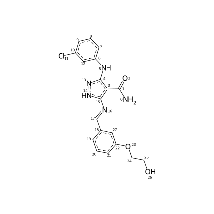 NC(=O)c1c(Nc2cccc(Cl)c2)n[nH]c1N=Cc1cccc(OCCO)c1